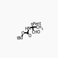 CCCCC[C@](C)(C=O)NC(=O)OC(C)(C)C